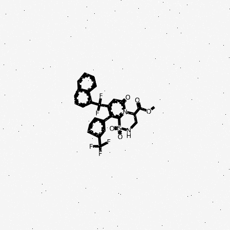 COC(=O)C1CNS(=O)(=O)c2c(-c3cccc(C(F)(F)F)c3)c(C(F)(F)c3cccc4ccccc34)cc(=O)n21